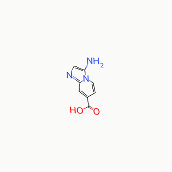 Nc1cnc2cc(C(=O)O)ccn12